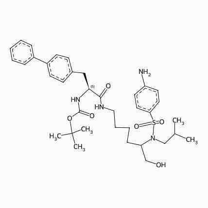 CC(C)CN(C(CO)CCCCNC(=O)[C@H](Cc1ccc(-c2ccccc2)cc1)NC(=O)OC(C)(C)C)S(=O)(=O)c1ccc(N)cc1